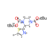 Cc1cnc(C2CN(C(=O)OC(C)(C)C)CCN2C(=O)OC(C)(C)C)s1